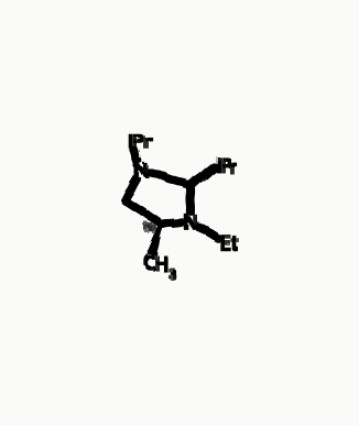 CCN1C(C(C)C)N(C(C)C)C[C@@H]1C